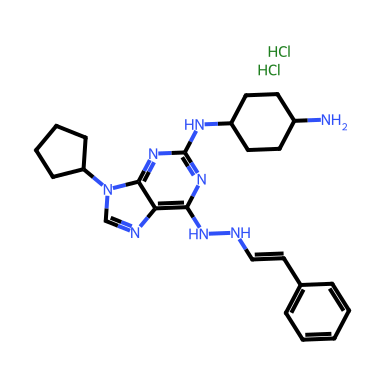 Cl.Cl.NC1CCC(Nc2nc(NNC=Cc3ccccc3)c3ncn(C4CCCC4)c3n2)CC1